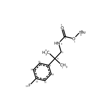 CC(C)(C)OC(=O)NCC(C)(C)c1ccc(F)cc1